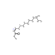 CCC(=O)/C=C\CCCCCCCCC(C)CC